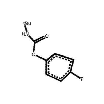 CC(C)(C)NC(=O)Oc1ccc(F)cc1